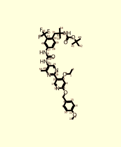 CCOc1cc(OCc2ccc(OC)cc2)ncc1-c1ncc(NC(=O)Nc2ccc(CC(C)(C)NC(=O)OC(C)(C)C)c(C(F)(F)F)c2)c(C)n1